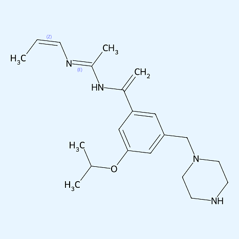 C=C(N/C(C)=N/C=C\C)c1cc(CN2CCNCC2)cc(OC(C)C)c1